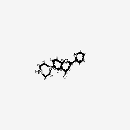 O=c1cc(-c2ccccn2)oc2ccc(N3CCNCC3)cc12